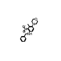 Cc1c(N2CCOCC2)ccc(NCc2ccccc2)c1[N+](=O)[O-]